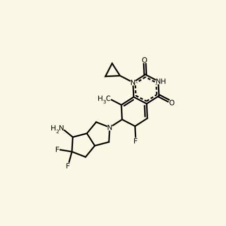 CC1=c2c(c(=O)[nH]c(=O)n2C2CC2)=CC(F)C1N1CC2CC(F)(F)C(N)C2C1